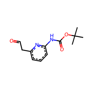 CC(C)(C)OC(=O)Nc1cccc(CC=O)n1